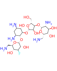 NC[C@@H]1O[C@H](O[C@H]2[C@@H](O)[C@H](O[C@@H]3[C@@H](O)[C@H](N)C[C@H](N)[C@H]3O[C@H]3O[C@H](CN)[C@@H](O)[C@H](F)[C@H]3O)O[C@@H]2CO)[C@H](N)[C@@H](O)[C@@H]1O